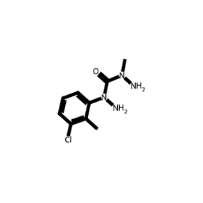 Cc1c(Cl)cccc1N(N)C(=O)N(C)N